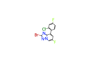 Fc1ccc(-c2cc(F)cn3nc(Br)nc23)c(Cl)c1